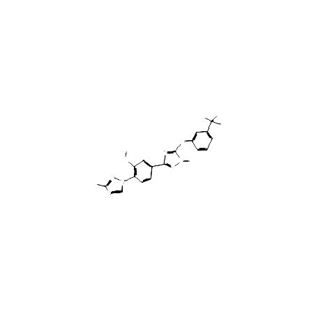 COc1cc(-c2nc(Nc3cccc(C(F)(F)F)c3)n(C)n2)ccc1-n1cnc(C)n1